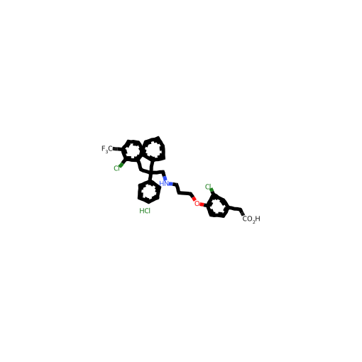 Cl.O=C(O)Cc1ccc(OCCCNCC(Cc2cccc(C(F)(F)F)c2Cl)(c2ccccc2)c2ccccc2)c(Cl)c1